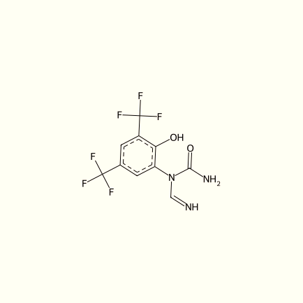 N=CN(C(N)=O)c1cc(C(F)(F)F)cc(C(F)(F)F)c1O